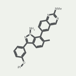 CNc1ncc2cc(-c3c(C)ccc4c(-c5cccc(OC(C)C)c5)nn(N)c34)ccc2n1